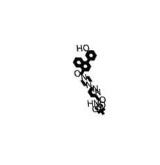 CC(C)(C)S(=O)(=O)NC(=O)c1ccc(N2CCN(C(=O)c3ccc(-c4cccc(O)c4)c4ccccc34)CC2)nn1